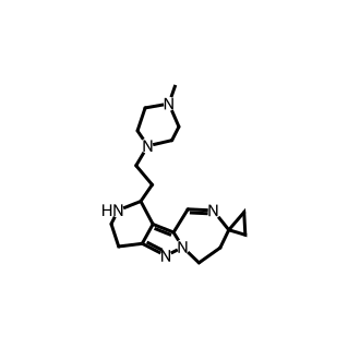 CN1CCN(CCC2NCCc3nn4c(c32)C=NC2(CC4)CC2)CC1